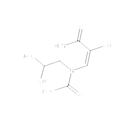 CC(=O)N(/C=C(/C)C(N)=O)CC(C)C